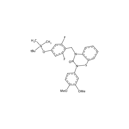 COc1ccc(N2Sc3ccccc3N(Cc3c(F)cc(O[Si](C)(C)C(C)(C)C)cc3F)C2=O)cc1OC